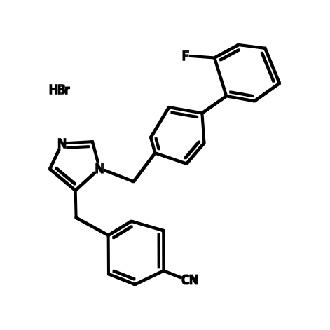 Br.N#Cc1ccc(Cc2cncn2Cc2ccc(-c3ccccc3F)cc2)cc1